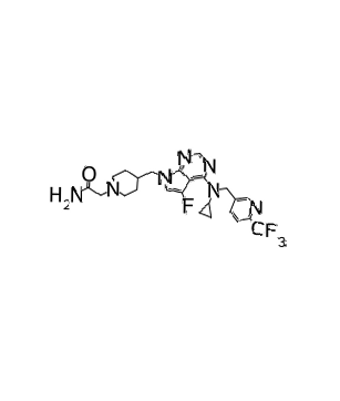 NC(=O)CN1CCC(Cn2cc(F)c3c(N(Cc4ccc(C(F)(F)F)nc4)C4CC4)ncnc32)CC1